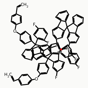 C=Cc1ccc(Oc2ccc(C3(c4cc(F)ccc4F)c4ccccc4-c4ccc(N(c5ccc(F)cc5)c5ccc6c(c5)C5(c7ccccc7-6)c6ccccc6-c6ccc(N(c7ccc(F)cc7)c7ccc8c(c7)C(c7ccc(Oc9ccc(C=C)cc9)cc7)(c7cc(F)ccc7F)c7ccccc7-8)cc65)cc43)cc2)cc1